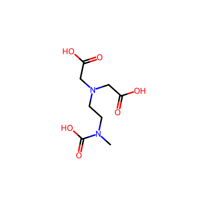 CN(CCN(CC(=O)O)CC(=O)O)C(=O)O